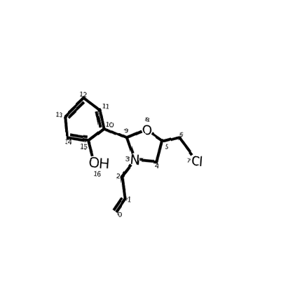 C=CCN1CC(CCl)OC1c1ccccc1O